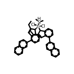 CCC1=Cc2c(-c3ccc4ccccc4c3)cccc2[CH]1[Zr]([Cl])([Cl])([CH]1C(CC)=Cc2c(-c3ccc4ccccc4c3)cccc21)[SiH](C)C